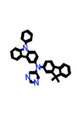 CC1(C)c2ccccc2-c2ccc(N(c3cncnc3)c3ccc4c(c3)c3ccccc3n4-c3ccccc3)cc21